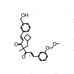 COCOc1cccc(/C=C/C(=O)C(C)(CC2CCC2)C(=O)/C=C/c2cccc(CO)c2)c1